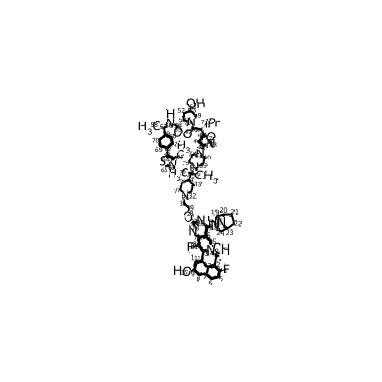 C#Cc1c(F)ccc2cc(O)cc(-c3ncc4c(N5CC6CCC(C5)N6)nc(OCCN5CCC(C(C)(C)N6CCN(c7cc([C@H](C(=O)N8C[C@H](O)C[C@H]8C(=O)N[C@@H](C)c8ccc(-c9scnc9C)cc8)C(C)C)on7)CC6)CC5)nc4c3F)c12